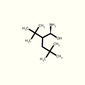 CC(C)(C)CC([C@@H](N)O)C(C)(C)C